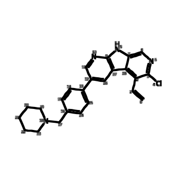 C=Cc1c(Cl)ncc2[nH]c3ncc(-c4ccc(CN5CCCCC5)cc4)cc3c12